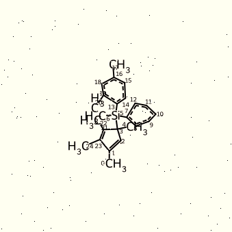 CC1=[C]C(C)([Si](C)(c2ccccc2)c2ccc(C)cc2C)C(C)=C1C